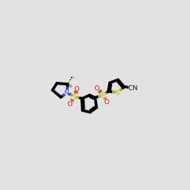 [CH2][C@H]1CCCN1S(=O)(=O)c1cccc(S(=O)(=O)c2ccc(C#N)s2)c1